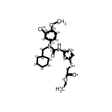 CCOC(=O)CSc1cnc(NC(=O)N(CC2CCCCC2)c2ccc(OC)c(Cl)c2)s1